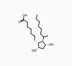 CCCCCCC(C)[C@@H]1[C@@H](CCCCCCC(=O)O)[C@@H](O)C[C@H]1O